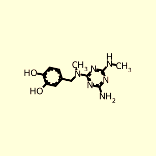 CNc1nc(N)nc(N(C)Cc2ccc(O)c(O)c2)n1